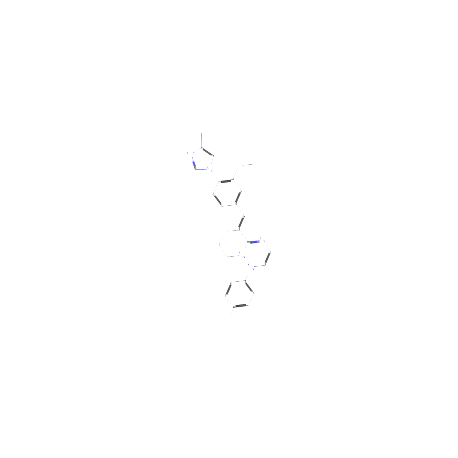 COc1cc(/C=C2\OCCN3C2=NC=CN3c2ccc(F)cc2)ccc1-n1cnc(C)c1